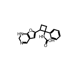 O=C(O)NC1(c2ccccc2)CCC1c1cc2c(o1)NCN=C2